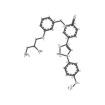 NCC(O)COc1cccc(Cn2cc(C3=CN(c4ccc(OC(F)(F)F)cc4)NO3)ccc2=O)c1